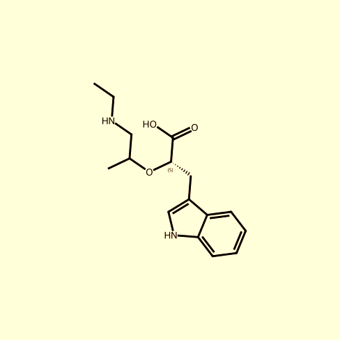 CCNCC(C)O[C@@H](Cc1c[nH]c2ccccc12)C(=O)O